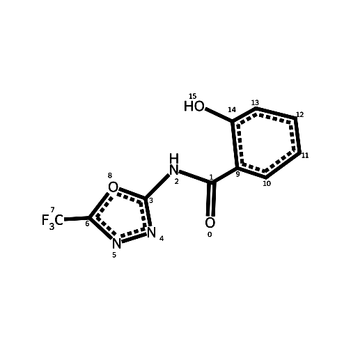 O=C(Nc1nnc(C(F)(F)F)o1)c1ccccc1O